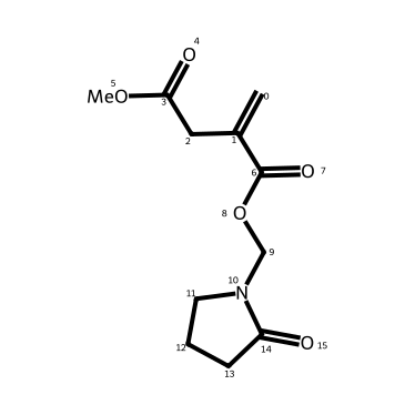 C=C(CC(=O)OC)C(=O)OCN1CCCC1=O